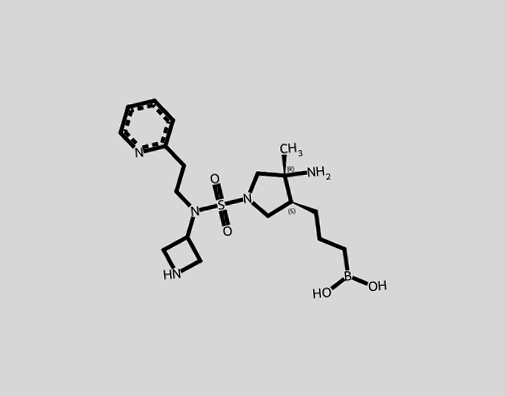 C[C@]1(N)CN(S(=O)(=O)N(CCc2ccccn2)C2CNC2)C[C@@H]1CCCB(O)O